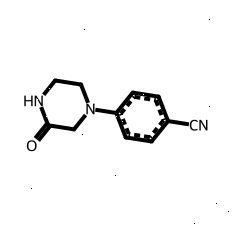 N#Cc1ccc(N2CCNC(=O)C2)cc1